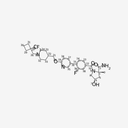 C[C@@]1(C(N)=O)C[C@@H](O)CN1C(=O)c1ccc(-c2ccc(OCC3CCN(CC4(C(F)(F)F)CCC4)CC3)nc2)c(F)c1